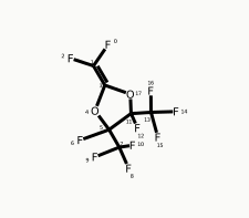 FC(F)=C1OC(F)(C(F)(F)F)C(F)(C(F)(F)F)O1